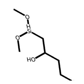 CO[SiH](CC(O)CCO)OC